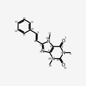 Cn1c(=O)c2c(nc(C=Cc3ccccc3)n2C)n(C)c1=O